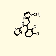 Cn1ccnc1CC(NC1=NCCS1)c1cccc(Cl)c1Cl